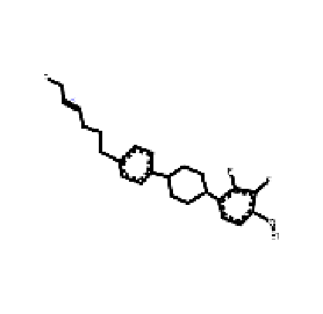 CCOc1ccc(C2CCC(c3ccc(CCC/C=C/CF)cc3)CC2)c(F)c1F